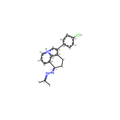 CC(C)=N/N=C1/CCc2c(-c3ccc(Cl)cc3)cn3cccc1c23